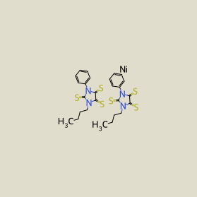 CCCCN1C(=S)C(=S)N(c2ccccc2)C1=S.CCCCN1C(=S)C(=S)N(c2ccccc2)C1=S.[Ni]